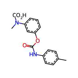 Cc1ccc(NC(=O)Oc2cccc(N(C)C(=O)O)c2)cc1